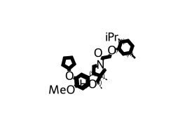 COc1ccc([C@@H]2CN(C(=O)CO[C@@H]3C[C@H](C)CC[C@H]3C(C)C)C[C@@]2(C)[C@H](C)O)cc1OC1CCCC1